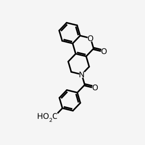 O=C(O)c1ccc(C(=O)N2CCc3c(c(=O)oc4ccccc34)C2)cc1